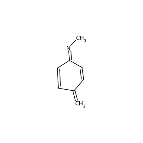 C=C1C=CC(=NC)C=C1